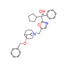 O[C@](c1ccccc1)(c1ncc(C[N+]23CCC(CC2)C(OCc2ccccc2)C3)o1)C1CCCC1